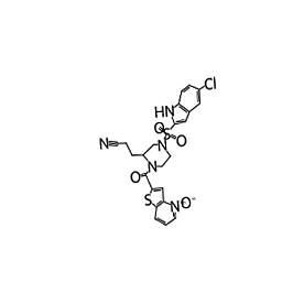 N#CCCC1CN(S(=O)(=O)c2cc3cc(Cl)ccc3[nH]2)CCN1C(=O)c1cc2c(ccc[n+]2[O-])s1